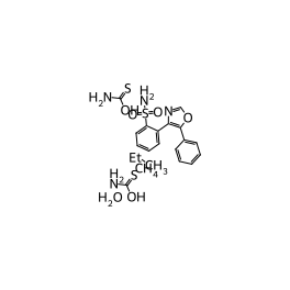 C.CCC.NC(O)=S.NC(O)=S.NS(=O)(=O)c1ccccc1-c1ncoc1-c1ccccc1.O